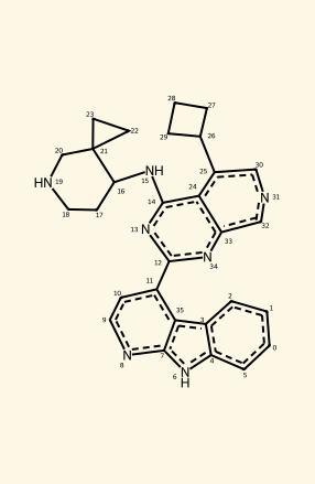 c1ccc2c(c1)[nH]c1nccc(-c3nc(NC4CCNCC45CC5)c4c(C5CCC5)cncc4n3)c12